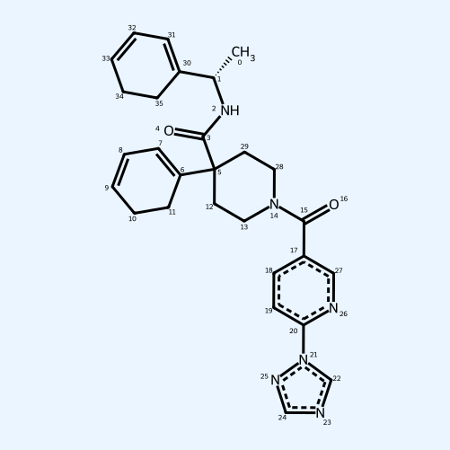 C[C@H](NC(=O)C1(C2=CC=CCC2)CCN(C(=O)c2ccc(-n3cncn3)nc2)CC1)C1=CC=CCC1